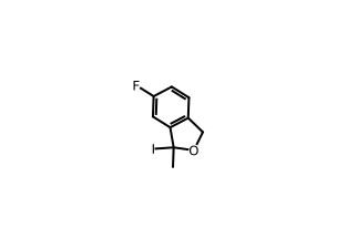 CC1(I)OCc2ccc(F)cc21